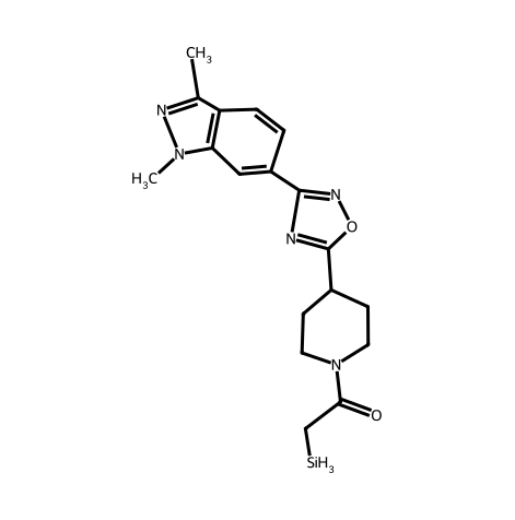 Cc1nn(C)c2cc(-c3noc(C4CCN(C(=O)C[SiH3])CC4)n3)ccc12